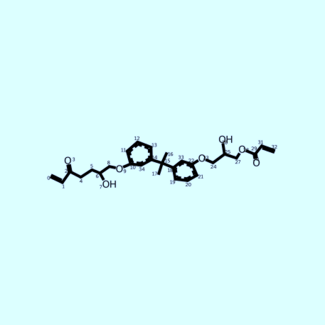 C=CC(=O)CCC(O)COc1cccc(C(C)(C)c2cccc(OCC(O)COC(=O)C=C)c2)c1